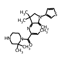 C=C1/C(=N\C(=C/C)C(=O)N2CCNCC2(C)C)C(C)(C)CN1c1ccsc1